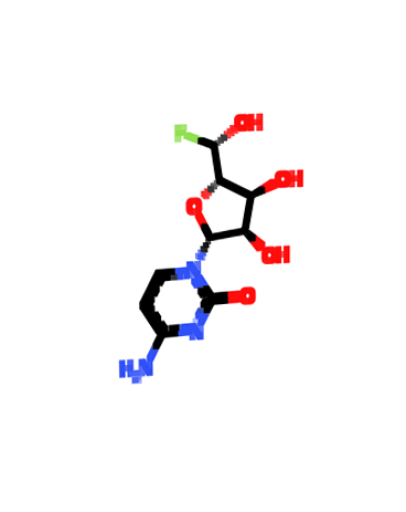 Nc1ccn([C@@H]2O[C@H]([C@@H](O)F)[C@@H](O)[C@H]2O)c(=O)n1